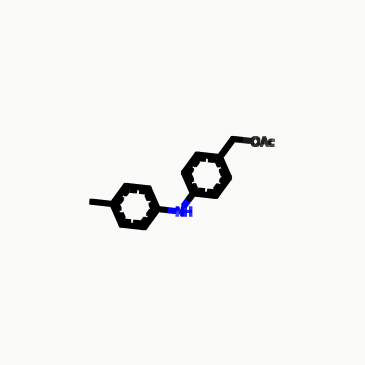 CC(=O)OCc1ccc(Nc2ccc(C)cc2)cc1